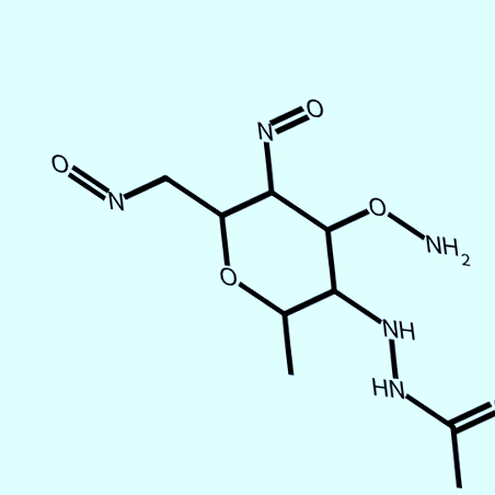 CC(=O)NNC1C(C)OC(CN=O)C(N=O)C1ON